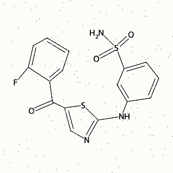 NS(=O)(=O)c1cccc(Nc2ncc(C(=O)c3ccccc3F)s2)c1